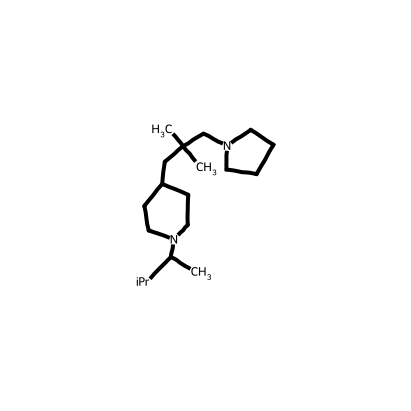 CC(C)C(C)N1CCC(CC(C)(C)CN2CCCC2)CC1